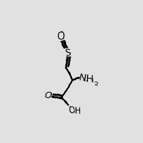 NC(C=S=O)C(=O)O